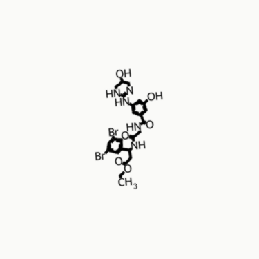 CCOC(=O)CC(NC(=O)CNC(=O)c1cc(O)cc(NC2=NCC(O)CN2)c1)c1cc(Br)cc(Br)c1